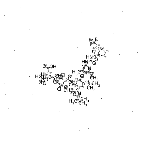 CC(C)Oc1cc(-n2nc(C(C)(C)C)oc2=O)c(Cl)cc1Cl.COc1c(Cl)ccc(Cl)c1C(=O)O.COc1nc(C)nc(NC(=O)NS(=O)(=O)c2ccccc2CCC(F)(F)F)n1.C[S+](C)C.O=C(O)CNCP(=O)([O-])O